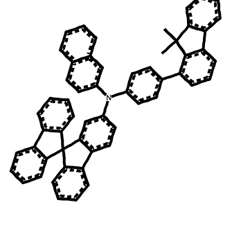 CC1(C)c2ccccc2-c2cccc(-c3ccc(N(c4ccc5c(c4)C4(c6ccccc6-c6ccccc64)c4ccccc4-5)c4ccc5ccccc5c4)cc3)c21